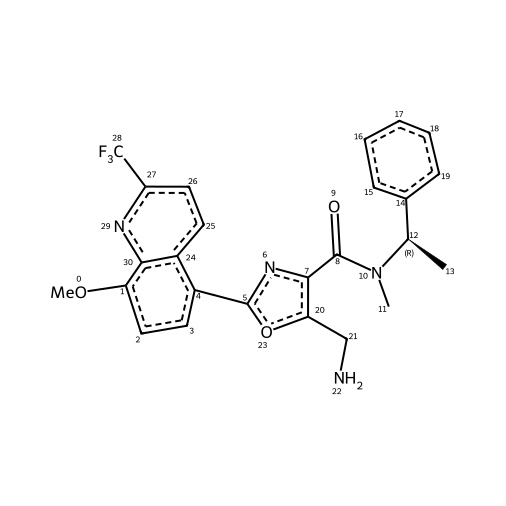 COc1ccc(-c2nc(C(=O)N(C)[C@H](C)c3ccccc3)c(CN)o2)c2ccc(C(F)(F)F)nc12